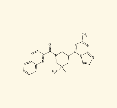 Cc1cc(C2CN(C(=O)c3ccc4ccccc4n3)CC(F)(P)C2)n2ncnc2n1